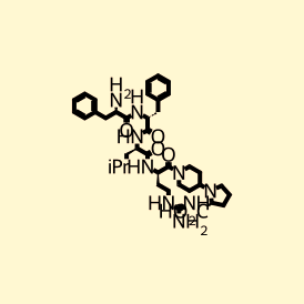 CC(C)C[C@@H](NC(=O)[C@@H](Cc1ccccc1)NC(=O)[C@H](N)Cc1ccccc1)C(=O)N[C@H](CCNC(=N)N)C(=O)N1CCC(N2CCC[C@H]2C(=O)O)CC1